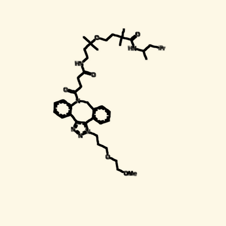 COCCOCCCn1nnc2c1-c1ccccc1CN(C(=O)CCC(=O)NCCC(C)(C)OCCC(C)(C)C(=O)NC(C)CC(C)C)c1ccccc1-2